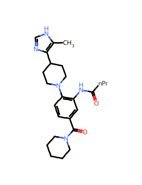 CCCC(=O)Nc1cc(C(=O)N2CCCCC2)ccc1N1CCC(c2nc[nH]c2C)CC1